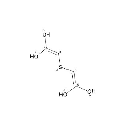 OC(O)=CSC=C(O)O